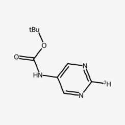 [2H]c1ncc(NC(=O)OC(C)(C)C)cn1